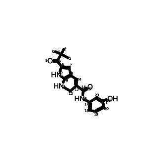 CC(C)(C)C(=O)c1cc2c([nH]1)NCC(C(=O)Nc1cccc(O)c1)=C2